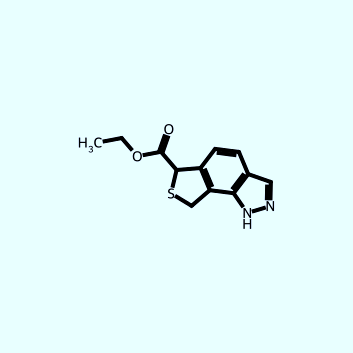 CCOC(=O)C1SCc2c1ccc1cn[nH]c21